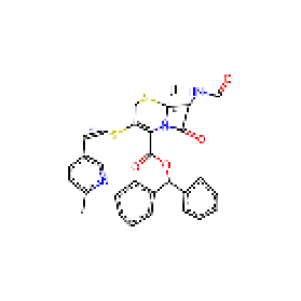 Cc1ccc(/C=C\SC2=C(C(=O)OC(c3ccccc3)c3ccccc3)N3C(=O)C(NC=O)[C@@H]3SC2)cn1